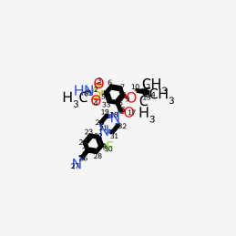 CNS(=O)(=O)c1ccc(OCC(C)(C)C)c(C(=O)N2CCN(c3ccc(C#N)cc3F)CC2)c1